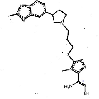 Cc1nc2cc(C3CCN(CCCSc4nnc(/C(N)=C/N)n4C)C3)ccc2s1